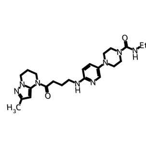 CCNC(=O)N1CCN(c2ccc(NCCCC(=O)N3CCCn4nc(C)cc43)nc2)CC1